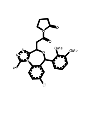 COc1cccc(C2OC(CC(=O)N3CCCC3=O)c3nnc(C(C)C)n3-c3ccc(Cl)cc32)c1OC